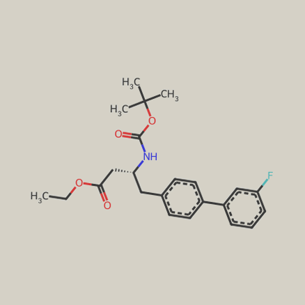 CCOC(=O)C[C@@H](Cc1ccc(-c2cccc(F)c2)cc1)NC(=O)OC(C)(C)C